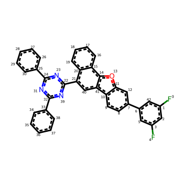 Fc1cc(F)cc(-c2ccc3c(c2)oc2c4ccccc4c(-c4nc(-c5ccccc5)nc(-c5ccccc5)n4)cc32)c1